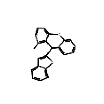 Cc1cccc2c1C(c1cc3ccccc3o1)c1ccccc1O2